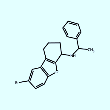 CC(NC1CCCc2c1oc1ccc(Br)cc21)c1ccccc1